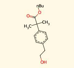 CCCCOC(=O)C(C)(C)c1ccc(CCO)cc1